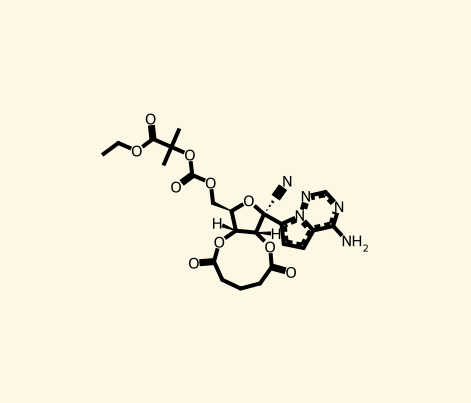 CCOC(=O)C(C)(C)OC(=O)OC[C@H]1O[C@@](C#N)(c2ccc3c(N)ncnn23)[C@@H]2OC(=O)CCCC(=O)O[C@@H]21